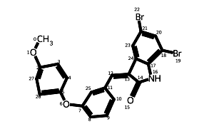 COc1ccc(Oc2cccc(C=C3C(=O)Nc4c(Br)cc(Br)cc43)c2)cc1